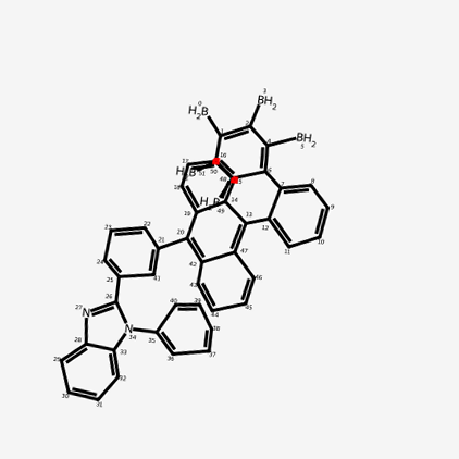 Bc1c(B)c(B)c(-c2ccccc2-c2c3ccccc3c(-c3cccc(-c4nc5ccccc5n4-c4ccccc4)c3)c3ccccc23)c(B)c1B